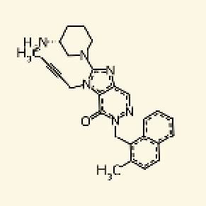 CC#CCn1c(N2CCC[C@@H](N)C2)nc2cnn(Cc3c(C)ccc4ccccc34)c(=O)c21